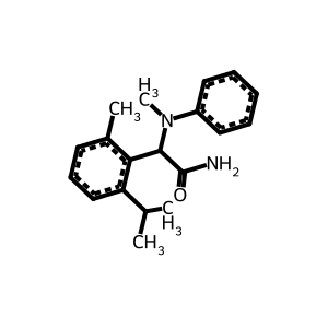 Cc1cccc(C(C)C)c1C(C(N)=O)N(C)c1ccccc1